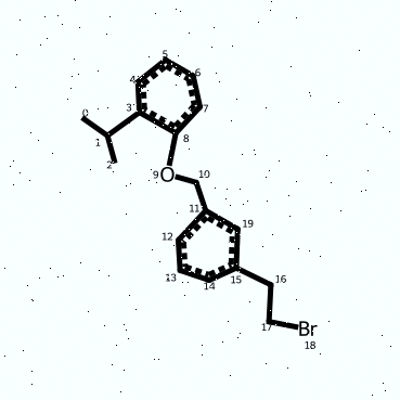 CC(C)c1ccccc1OCc1cccc(CCBr)c1